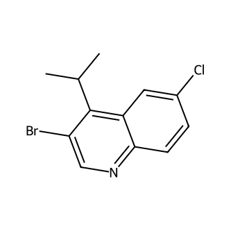 CC(C)c1c(Br)cnc2ccc(Cl)cc12